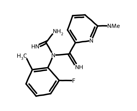 CNc1cccc(C(=N)N(C(=N)N)c2c(C)cccc2F)n1